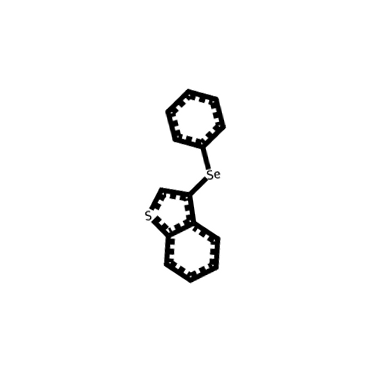 c1ccc([Se]c2csc3ccccc23)cc1